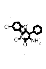 Nc1c(-c2ccccc2)c2oc3ccc(Cl)cc3c2n(Cl)c1=O